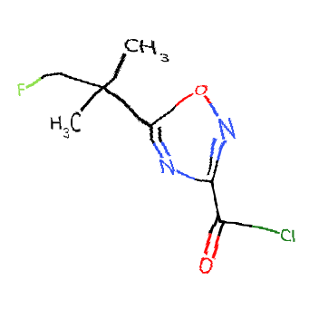 CC(C)(CF)c1nc(C(=O)Cl)no1